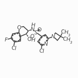 CC1(C)CN(c2cc(S(=O)(=O)N[C@@H]3COc4cc(F)c(Cl)cc4[C@@H]3O)cc(Cl)n2)C1